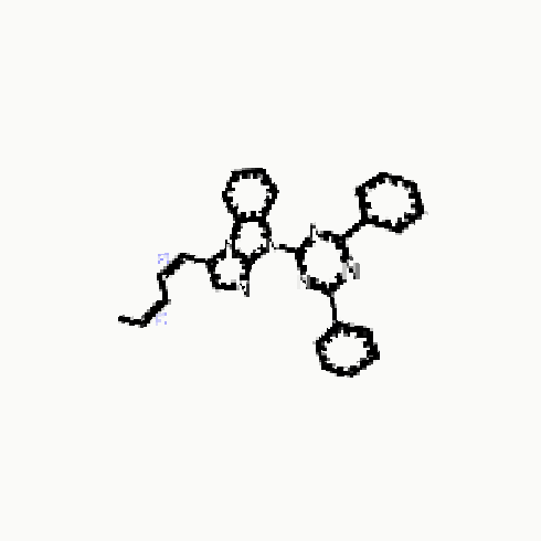 C/C=C\C=C/c1cnc2n(-c3nc(-c4ccccc4)nc(-c4ccccc4)n3)c3ccccc3n12